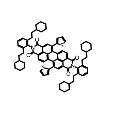 O=C1c2ccc3c4c(-c5cccs5)cc5c6c(ccc(c7c(-c8cccs8)cc(c2c37)C(=O)N1c1c(CCC2CCCCC2)cccc1CCC1CCCCC1)c64)C(=O)N(c1c(CCC2CCCCC2)cccc1CCC1CCCCC1)C5=O